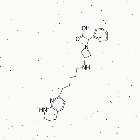 O=C(O)C(c1ccccc1)N1CC(NCCCCCc2ccc3c(n2)NCCC3)C1